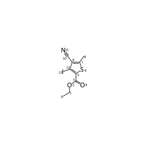 CCOC(=O)c1sc(C)c(C#N)c1I